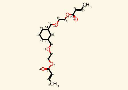 CC=CC(=O)OCCOCC1CCCC(COCCOC(=O)C=CC)C1